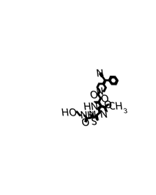 COc1cnc(-c2csc(C(=O)NCCO)n2)c2[nH]cc(C(=O)C(=O)N3CCC(=C(C#N)c4ccccc4)CC3)c12